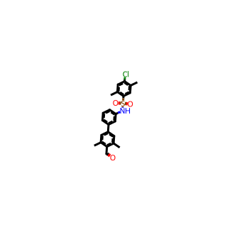 Cc1cc(S(=O)(=O)Nc2cccc(-c3cc(C)c(C=O)c(C)c3)c2)c(C)cc1Cl